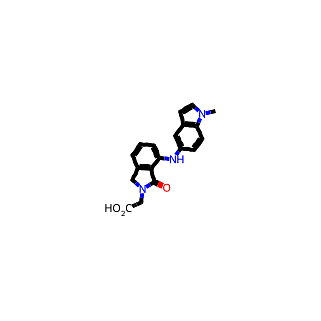 Cn1ccc2cc(Nc3cccc4c3C(=O)N(CC(=O)O)C4)ccc21